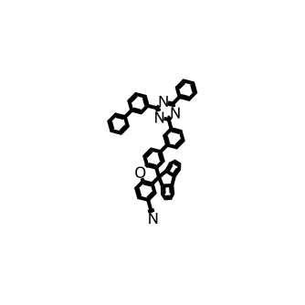 N#Cc1ccc2c(c1)C1(c3cc(-c4cccc(-c5nc(-c6ccccc6)nc(-c6cccc(-c7ccccc7)c6)n5)c4)ccc3O2)c2ccccc2-c2ccccc21